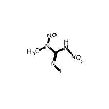 CN(N=O)C(=NI)N[N+](=O)[O-]